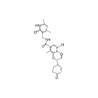 Cc1cc(C)c(CNC(=O)c2cc(Cl)c3c(c2C)OC(C2CCC(=O)CC2)CO3)c(=O)[nH]1